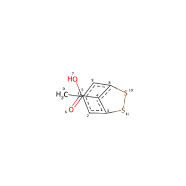 Cc1cc2c(C(=O)O)c(c1)SS2